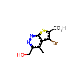 Cc1c(CO)nnc2sc(C(=O)O)c(Br)c12